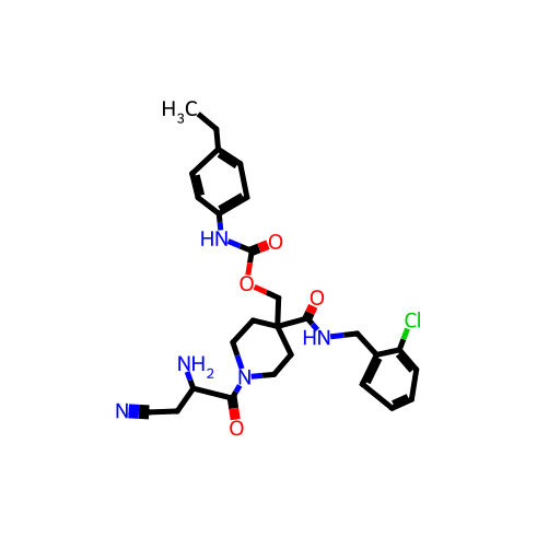 CCc1ccc(NC(=O)OCC2(C(=O)NCc3ccccc3Cl)CCN(C(=O)C(N)CC#N)CC2)cc1